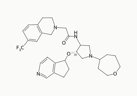 O=C(CN1CCc2ccc(C(F)(F)F)cc2C1)NC1CN(C2CCCOCC2)C[C@@H]1OC1CCc2cnccc21